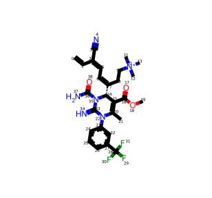 C=C/C(C#N)=C\C=C(/CC[N+](C)(C)C)[C@@H]1C(C(=O)OC)=C(C)N(c2cccc(C(F)(F)F)c2)C(=N)N1C(N)=O